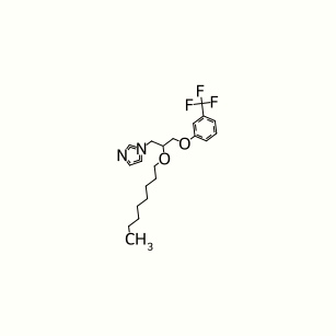 CCCCCCCCOC(COc1cccc(C(F)(F)F)c1)Cn1ccnc1